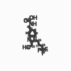 O=C(O)NCc1ccc2c(c1)nc(CO)n2CCCC(F)(F)F